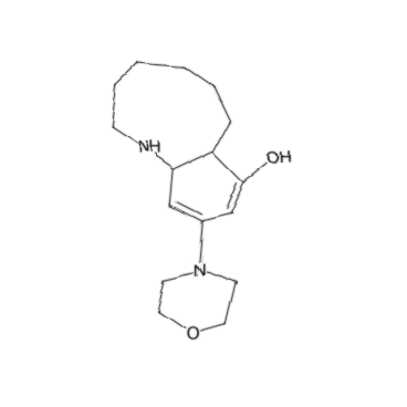 OC1=CC(N2CCOCC2)=CC2NCCCCCCC12